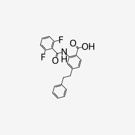 O=C(O)c1ccc(CCc2ccccc2)cc1NC(=O)c1c(F)cccc1F